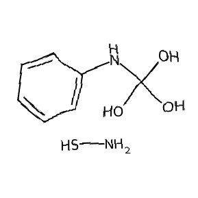 NS.OC(O)(O)Nc1ccccc1